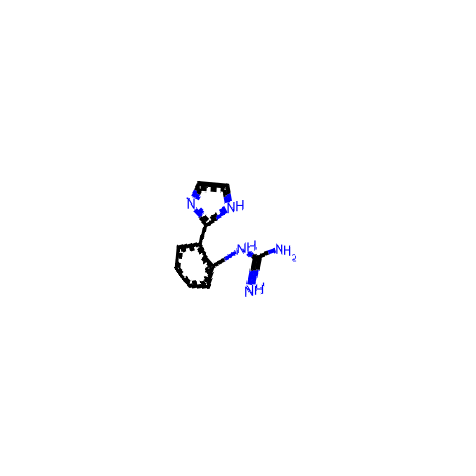 N=C(N)Nc1ccccc1-c1ncc[nH]1